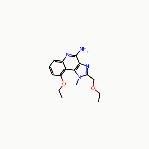 CCOCc1nc2c(N)nc3cccc(OCC)c3c2n1C